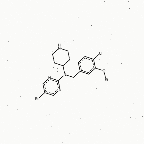 CCOc1cc(CN(c2ncc(CC)cn2)C2CCNCC2)ccc1Cl